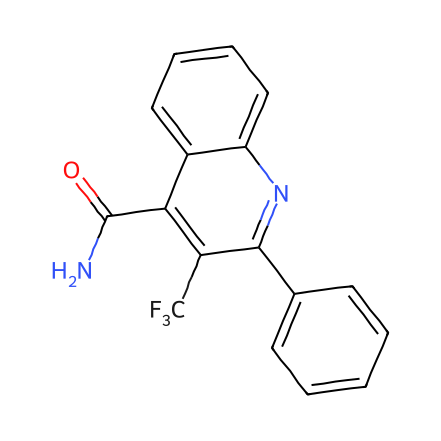 NC(=O)c1c(C(F)(F)F)c(-c2ccccc2)nc2ccccc12